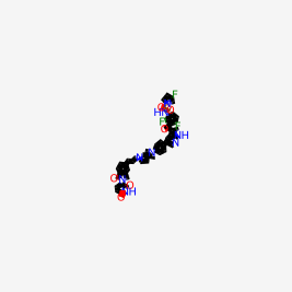 O=C1CCC(N2Cc3cc(CCCN4CCC5(C4)CN(c4ccc(-c6cnc7[nH]cc(C(=O)c8c(F)ccc(NS(=O)(=O)N9CC[C@@H](F)C9)c8F)c7c6)cc4)C5)ccc3C2=O)C(=O)N1